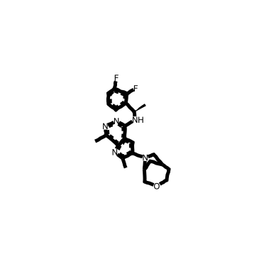 Cc1nc2c(C)nnc(N[C@H](C)c3cccc(F)c3F)c2cc1N1CC2CCOCC1C2